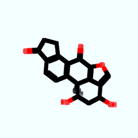 CC12c3ccc4c(c3C(=O)c3occ(c31)C(O)CC2O)CCC4=O